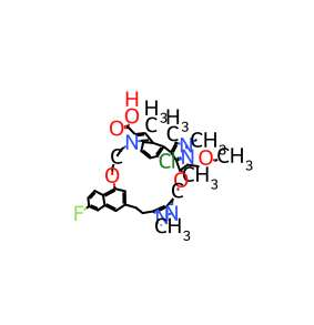 CCOCCC1(C)OCc2cc(n(C)n2)CCc2cc(c3ccc(F)cc3c2)OCCCn2c(C(=O)O)c(C)c3c(c(Cl)ccc32)-c2c1nn(C)c2C